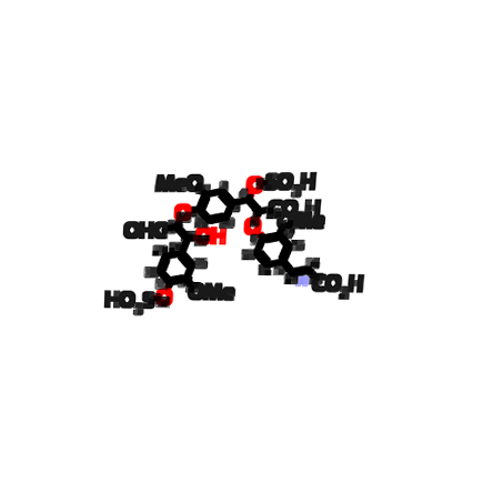 COc1cc(C(OS(=O)(=O)O)C(Oc2ccc(/C=C/C(=O)O)cc2OC)C(=O)O)ccc1OC(C=O)C(O)c1ccc(OS(=O)(=O)O)c(OC)c1